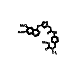 COc1cc2ncnc(Oc3cnn(CC(=O)Nc4ccc(CN(C)C(=O)OC(C)(C)C)cc4)c3)c2cc1OC